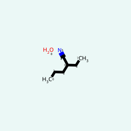 CCCC(C#N)CC.O